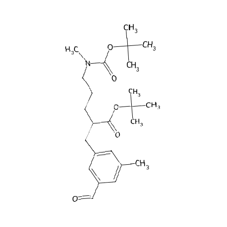 Cc1cc(C=O)cc(CC(CCCN(C)C(=O)OC(C)(C)C)C(=O)OC(C)(C)C)c1